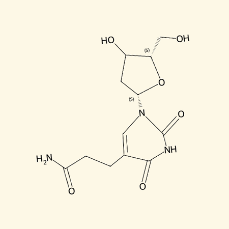 NC(=O)CCc1cn([C@@H]2CC(O)[C@H](CO)O2)c(=O)[nH]c1=O